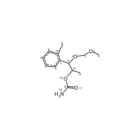 COCOC(c1ccccc1C)C(C)OC(N)=O